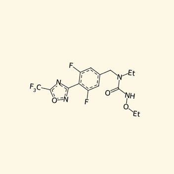 CCONC(=O)N(CC)Cc1cc(F)c(-c2noc(C(F)(F)F)n2)c(F)c1